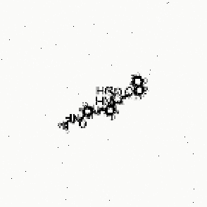 CN(C)CCNC(=O)c1cccc(CCc2cccc3c(CCCOc4cccc5ccccc45)c(C(=O)O)[nH]c23)c1